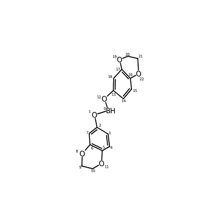 B(Oc1ccc2c(c1)OCCO2)Oc1ccc2c(c1)OCCO2